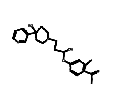 CC(=O)c1ccc(OC(O)CCN2CCC(O)(c3cccnc3)CC2)cc1C